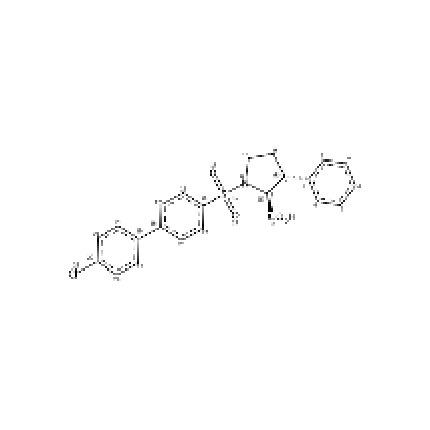 O=C(O)[C@@H]1[C@@H](c2ccccc2)CCN1S(=O)(=O)c1ccc(-c2ccc(Cl)cc2)cc1